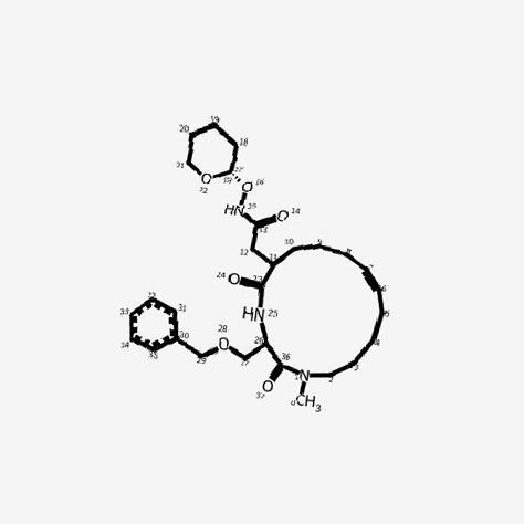 CN1CCCCC=CCCCC(CC(=O)NO[C@H]2CCCCO2)C(=O)NC(COCc2ccccc2)C1=O